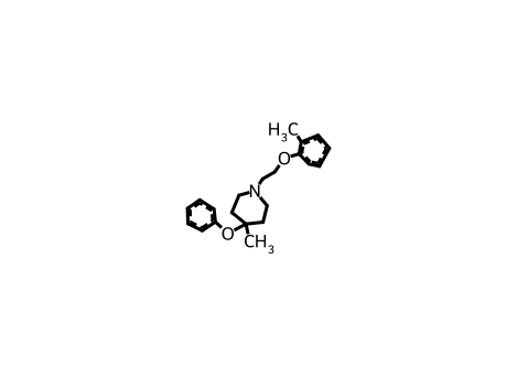 Cc1ccccc1OCCN1CCC(C)(Oc2ccccc2)CC1